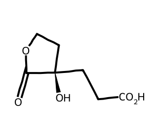 O=C(O)CC[C@@]1(O)CCOC1=O